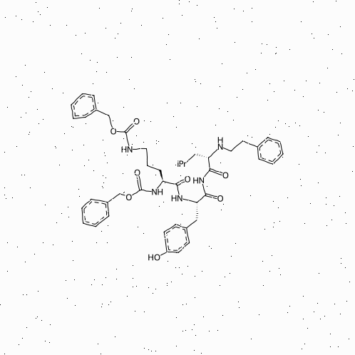 CC(C)C[C@H](NCCc1ccccc1)C(=O)NC(=O)[C@H](Cc1ccc(O)cc1)NC(=O)[C@H](CCCNC(=O)OCc1ccccc1)NC(=O)OCc1ccccc1